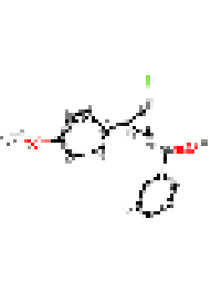 COc1ccc([C@H]2[C@H](F)[C@@H]2C(=O)c2ccccc2)cc1